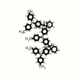 CCCCCC(CC)(c1ccc(N(c2ccc(C)cc2)c2ccc(C)cc2)cc1)C1(c2ccc(N(c3ccc(C)cc3)c3ccc(C(CC)(CCC)C4(c5ccc(N(c6ccc(C)cc6)c6ccc(C)cc6)cc5)CCCCC4)cc3)cc2)CCCCC1